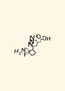 [N-]=[N+]=NC(CCCC(=O)O)c1cccc(F)c1CN